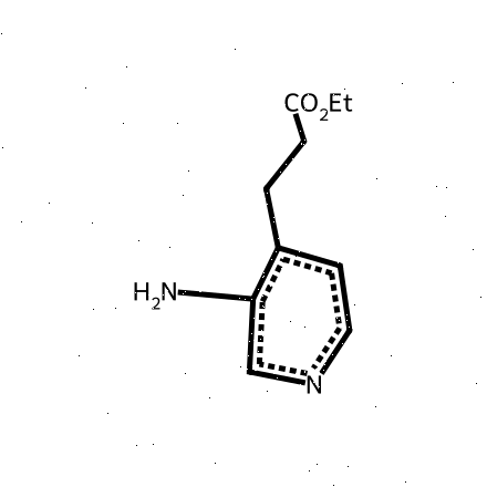 CCOC(=O)CCc1ccncc1N